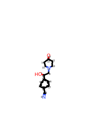 N#Cc1ccc(C(O)CN2CCC(=O)CC2)cc1